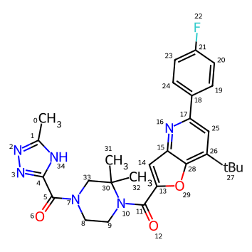 Cc1nnc(C(=O)N2CCN(C(=O)c3cc4nc(-c5ccc(F)cc5)cc(C(C)(C)C)c4o3)C(C)(C)C2)[nH]1